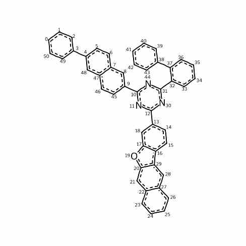 c1ccc(-c2ccc3cc(-c4nc(-c5ccc6c(c5)oc5cc7ccccc7cc56)nc(-c5ccccc5-c5ccccc5)n4)ccc3c2)cc1